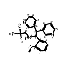 CSc1ccccc1C(NCC(F)(F)F)C(c1cccnc1)c1cccnc1